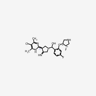 CC1=N/C(=C2\CN(C(O)c3ccc(F)cc3O[C@H]3CNC[C@@H]3F)CC2=N)NC(C)=C1Cl